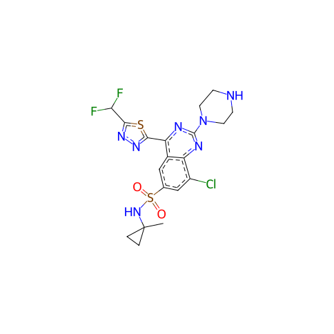 CC1(NS(=O)(=O)c2cc(Cl)c3nc(N4CCNCC4)nc(-c4nnc(C(F)F)s4)c3c2)CC1